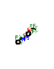 Fc1cccc(F)c1C(Cl)=Nc1nc2ccc(OC(F)(F)C(F)C(F)(F)F)cc2s1